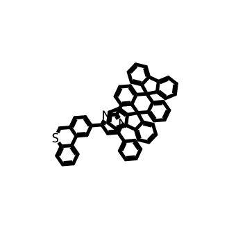 c1ccc(-c2cc(-c3ccc4c(c3)-c3ccccc3SC4)nc(-c3cccc4c3C3(c5ccccc5-c5ccccc53)c3ccccc3C43c4ccccc4-c4ccccc43)n2)cc1